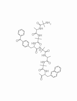 CC(=O)C(Cc1ccc2ccccc2c1)NC(=O)C(C)(C)NC(=O)C(C)NC(=O)C(C)(C)NC(=O)C(Cc1ccc(C(=O)c2ccccc2)cc1)NC(=O)C(C)(C)NC(=O)C(C)NC(=O)C(C)(C)N